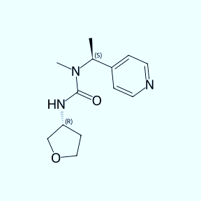 C[C@@H](c1ccncc1)N(C)C(=O)N[C@@H]1CCOC1